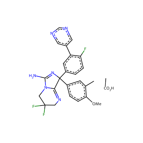 CC(=O)O.COc1ccc(C2(c3ccc(F)c(-c4cncnc4)c3)N=C(N)N3CC(F)(F)CN=C32)cc1C